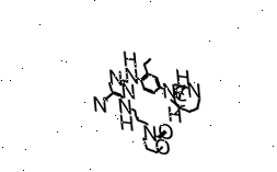 CCc1cc(N2C[C@H]3CCCN(C)[C@H](CC3)C2)ccc1Nc1ncc(C#N)c(NCCCN2CCCOC2=O)n1